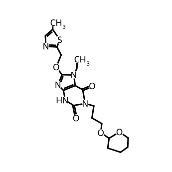 CCn1c(OCc2ncc(C)s2)nc2[nH]c(=O)n(CCCOC3CCCCO3)c(=O)c21